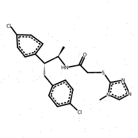 C[C@@H](NC(=O)CSc1nncn1C)[C@H](Cc1ccc(Cl)cc1)c1ccc(Cl)cc1